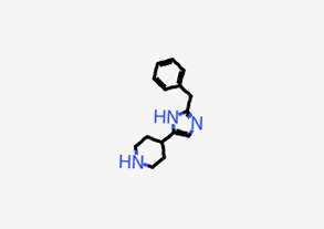 c1ccc(Cc2ncc(C3CCNCC3)[nH]2)cc1